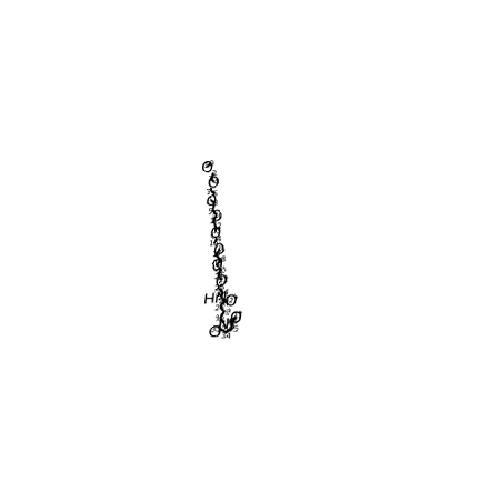 COCCOCCOCCOCCOCCOCCOCCOCCNC(=O)CCCN1C(=O)C=CC1=O